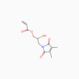 C=CC(=O)OCC(O)CN1C(=O)C(C)=C(C)C1=O